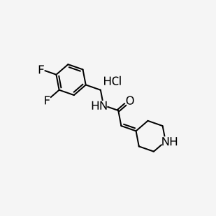 Cl.O=C(C=C1CCNCC1)NCc1ccc(F)c(F)c1